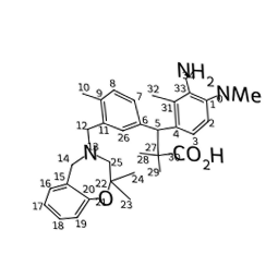 CNc1ccc(C(c2ccc(C)c(CN3Cc4ccccc4OC(C)(C)C3)c2)C(C)(C)C(=O)O)c(C)c1N